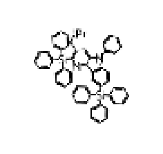 CC(C)Cc1cc2c(nc1[Si](c1ccccc1)(c1ccccc1)c1ccccc1)c1cc([Si](c3ccccc3)(c3ccccc3)c3ccccc3)ccc1n2-c1ccccc1